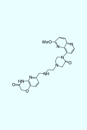 COc1ccc2nccc(N3CCN(CCNCc4ccc5c(n4)NC(=O)CO5)CC3=O)c2n1